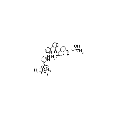 Cc1ccc2c(NCC[C@H](C)O)cccc2c1Oc1ncccc1-c1ccnc(N[C@H]2CCCN(C(=O)OC(C)(C)C)C2)n1